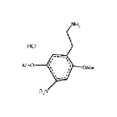 COc1cc([N+](=O)[O-])c(OC)cc1CCN.Cl